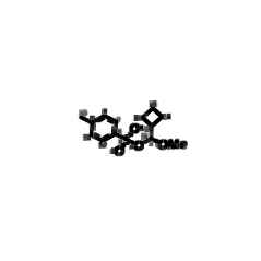 CO[C@@H](OS(=O)(=O)c1ccc(C)cc1)C1CCC1